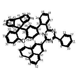 C1=Cc2cc(-c3nc(-c4ccccc4)nc(-c4ccccc4-c4ccc5c(c4)C4(c6ccccc6O5)c5ccccc5-c5ccccc54)n3)cc3cccc(c23)C1